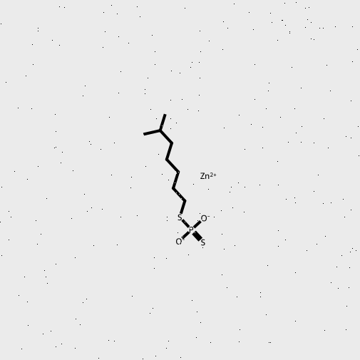 CC(C)CCCCCSP([O-])([O-])=S.[Zn+2]